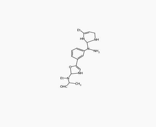 CCC1=CCNC(N(N)c2cccc(C3=CNC(N(CC)C(C)C=O)O3)c2)N1